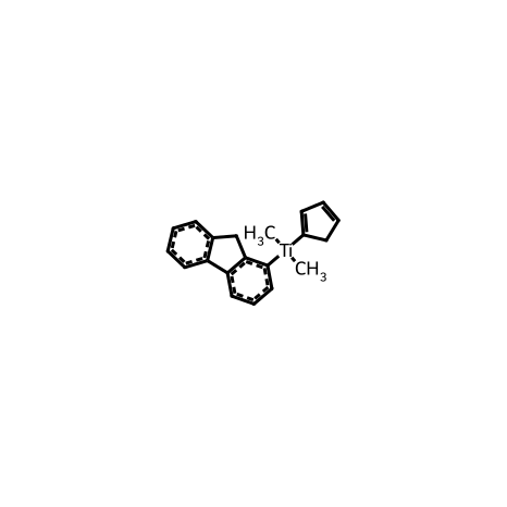 [CH3][Ti]([CH3])([C]1=CC=CC1)[c]1cccc2c1Cc1ccccc1-2